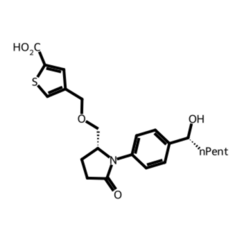 CCCCC[C@@H](O)c1ccc(N2C(=O)CC[C@@H]2COCc2csc(C(=O)O)c2)cc1